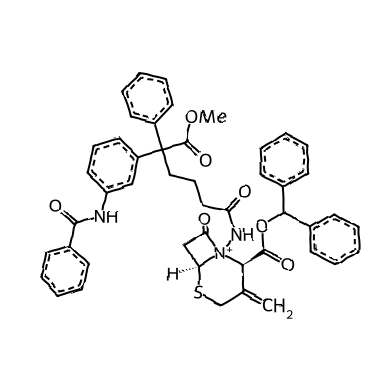 C=C1CS[C@H]2CC(=O)[N+]2(NC(=O)CCCC(C(=O)OC)(c2ccccc2)c2cccc(NC(=O)c3ccccc3)c2)[C@H]1C(=O)OC(c1ccccc1)c1ccccc1